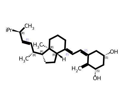 C=C1/C(=C\C=C2/CCC[C@]3(C)[C@@H]([C@H](C)/C=C/[C@H](C)C(C)C)CC[C@@H]23)C[C@H](O)C[C@@H]1O